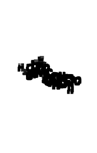 CC(=O)C(NC(=O)C1CC[C@H]2[C@@H]3CCC4NC(=O)C=C[C@]4(C)[C@@H]3CC[C@]12C)C(F)(F)F